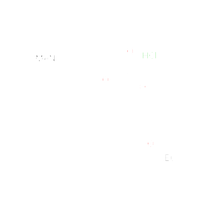 CCOCCOC(=O)OCCNC.Cl